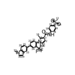 Cc1cc(C(=O)Nc2ccc(S(C)(=O)=O)cc2)c(C)n1-c1ccc(-c2ccc3c(ccn3C)c2)cc1C(F)(F)F